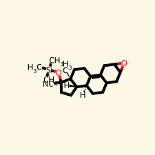 C[C@]12CCC3=C4CC5OC5CC4CC[C@H]3[C@@H]1CCC2(C#N)O[Si](C)(C)C